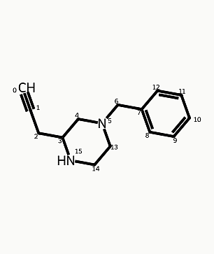 C#CCC1CN(Cc2ccccc2)CCN1